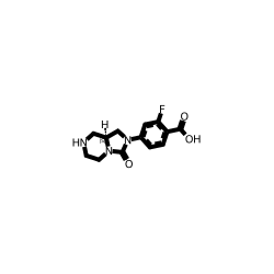 O=C(O)c1ccc(N2C[C@@H]3CNCCN3C2=O)cc1F